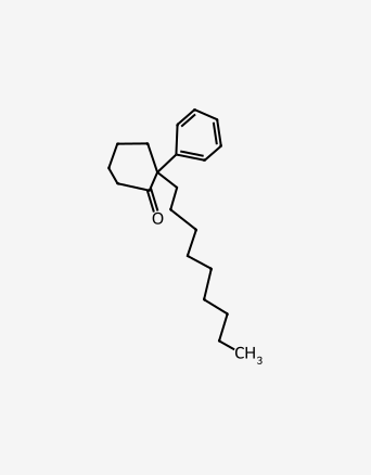 CCCCCCCCCC1(c2ccccc2)CCCCC1=O